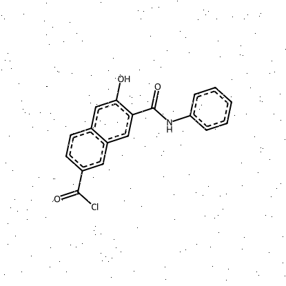 O=C(Cl)c1ccc2cc(O)c(C(=O)Nc3ccccc3)cc2c1